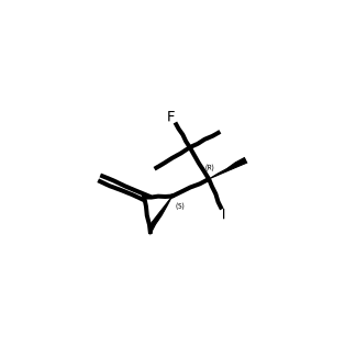 C=C1C[C@@H]1[C@@](C)(I)C(C)(C)F